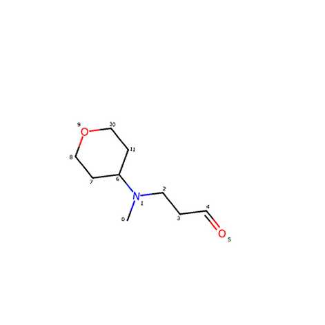 CN(CCC=O)C1CCOCC1